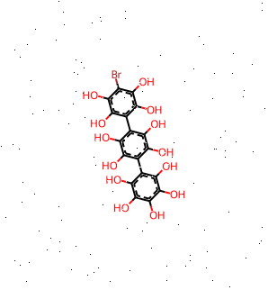 Oc1c(O)c(O)c(-c2c(O)c(O)c(-c3c(O)c(O)c(Br)c(O)c3O)c(O)c2O)c(O)c1O